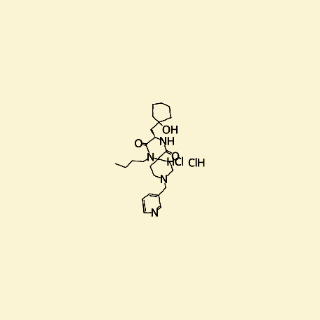 CCCCN1C(=O)[C@@H](CC2(O)CCCCC2)NC(=O)C12CCN(Cc1cccnc1)CC2.Cl.Cl